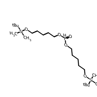 CC(C)(C)[Si](C)(C)OCCCCCO[PH](=O)OCCCCCO[Si](C)(C)C(C)(C)C